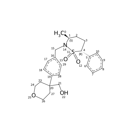 C[C@H]1CC[C@H](c2ccccc2)S(=O)(=O)N1Cc1ccc(C2(CO)CCOCC2)cc1